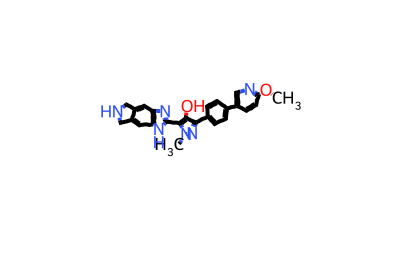 COc1ccc(-c2ccc(-c3nn(C)c(-c4nc5cc6c(cc5[nH]4)CNC6)c3O)cc2)cn1